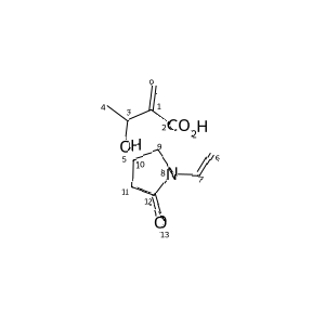 C=C(C(=O)O)C(C)O.C=CN1CCCC1=O